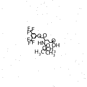 CC(C)(C)OC(=O)NC(CCC(=O)O)C(=O)COc1cc(C(F)(F)F)cc(C(F)(F)F)c1